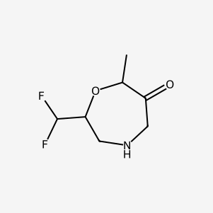 CC1OC(C(F)F)CNCC1=O